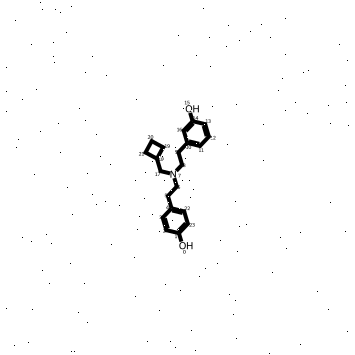 Oc1ccc(CCN(CCc2cccc(O)c2)CC2CCC2)cc1